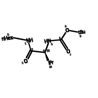 CCCCCCNC(=O)[C@@H](NC(=O)OC(C)(C)C)C(C)C